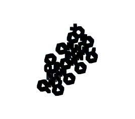 Cc1ccccc1N(c1nc2c3c(n1)N(c1ccccc1)c1cc4c(cc1B3c1ccccc1O2)B1c2ccccc2N(c2ccc3c(c2)C(C)(C)CCC3(C)C)c2nc(N(c3ccccc3C)c3ccccc3C)nc(c21)N4c1ccccc1)c1ccccc1C